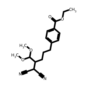 CCOC(=O)c1ccc(CCCC(C(C#N)C#N)C(OC)OC)cc1